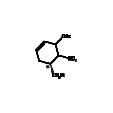 CCOC(=O)[C@@H]1CC=CC(OC(C)=O)C1[N+](=O)[O-]